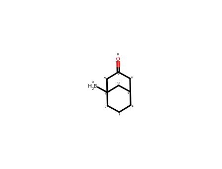 BC12CCCC(CC(=O)C1)C2